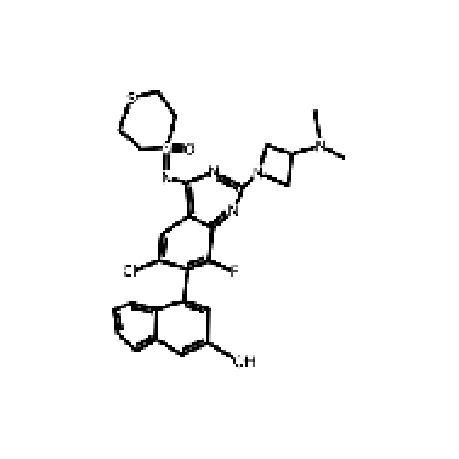 CN(C)C1CN(c2nc(N=S3(=O)CCSCC3)c3cc(Cl)c(-c4cc(O)cc5ccccc45)c(F)c3n2)C1